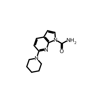 NC(=O)n1ccc2ccc(N3CCCCC3)nc21